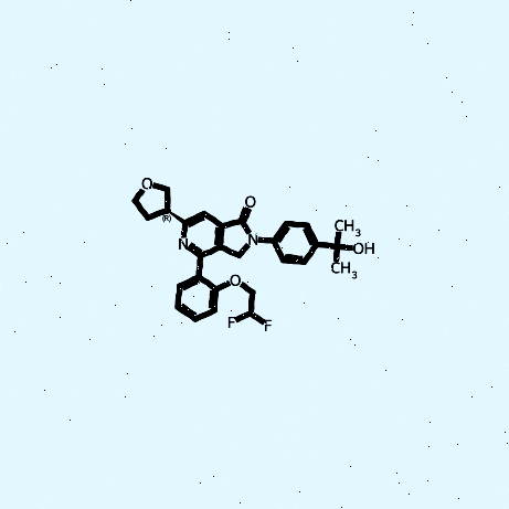 CC(C)(O)c1ccc(N2Cc3c(cc([C@H]4CCOC4)nc3-c3ccccc3OCC(F)F)C2=O)cc1